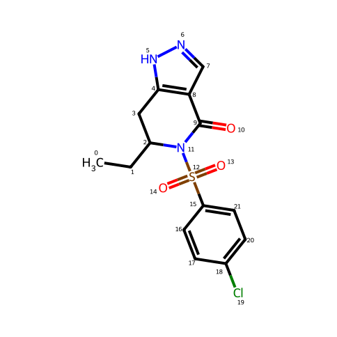 CCC1Cc2[nH]ncc2C(=O)N1S(=O)(=O)c1ccc(Cl)cc1